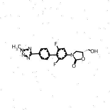 Cn1nnc(-c2ccc(-c3c(F)cc(N4C[C@H](CO)OC4=O)cc3F)cc2)n1